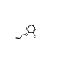 C=CCOc1nccnc1Cl